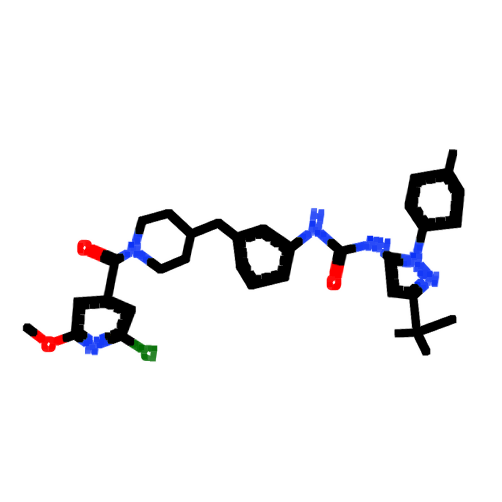 COc1cc(C(=O)N2CCC(Cc3cccc(NC(=O)Nc4cc(C(C)(C)C)nn4-c4ccc(C)cc4)c3)CC2)cc(Cl)n1